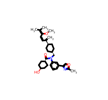 C=C(/C=C\C(OC)=C(C)C)[C@H]1CC[C@H](CN(c2cccc(-c3coc(C)n3)c2)C(=O)[C@H]2CC[C@H](O)CC2)CC1